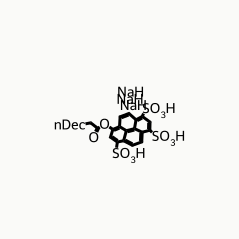 CCCCCCCCCCCC(=O)Oc1cc(S(=O)(=O)O)c2ccc3c(S(=O)(=O)O)cc(S(=O)(=O)O)c4ccc1c2c43.[NaH].[NaH].[NaH]